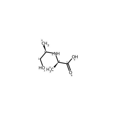 C[C@H](CO)N[C@H](C)C(=O)O